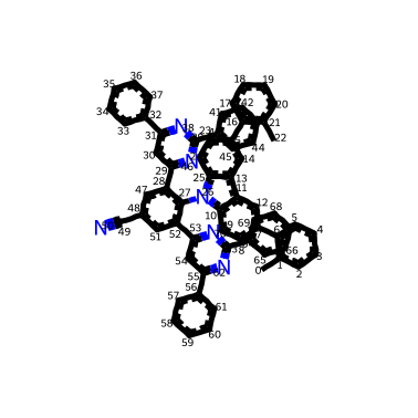 Cc1ccccc1-c1ccc2c(c1)c1cc(-c3ccccc3C)ccc1n2-c1c(-c2cc(-c3ccccc3)nc(-c3ccccc3)n2)cc(C#N)cc1-c1cc(-c2ccccc2)nc(-c2ccccc2)n1